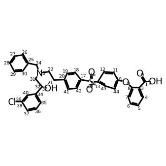 O=C(O)c1ccccc1Oc1ccc(S(=O)(=O)c2ccc(CCN(Cc3ccccc3)C[C@H](O)c3cccc(Cl)c3)cc2)cc1